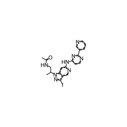 CC(=O)NCC(C)n1nc(I)c2cnc(Nc3ccnc(-c4cccnc4)n3)cc21